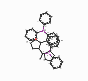 CC(C1CCCC1c1c(C2CCCC2)cccc1P(c1ccccc1)c1ccccc1)P(c1ccccc1)c1ccccc1